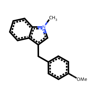 COc1ccc(Cc2cn(C)c3ccccc23)cc1